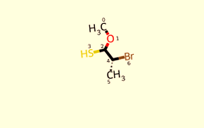 COC(S)[C@@H](C)Br